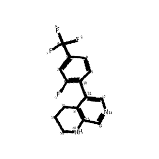 Fc1cc(C(F)(F)F)ccc1-c1cncc2c1CCCN2